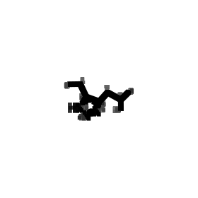 CCc1[nH]nnc1CC(C)C